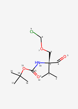 CC(C)[C@](C=O)(COCCl)NC(=O)OC(C)(C)C